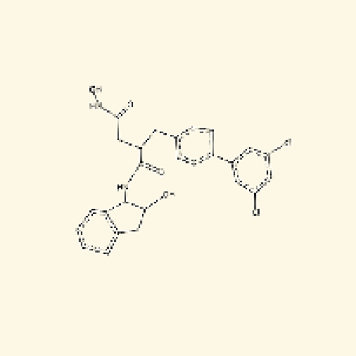 O=C(CC(Cc1ccc(-c2cc(Cl)cc(Cl)c2)cc1)C(=O)NC1c2ccccc2CC1O)NO